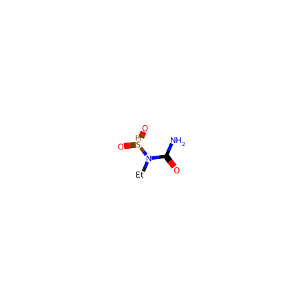 CCN(C(N)=O)[SH](=O)=O